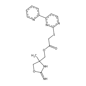 CC1(COC(=O)CSc2nccc(-c3ccccn3)n2)COC(=N)N1